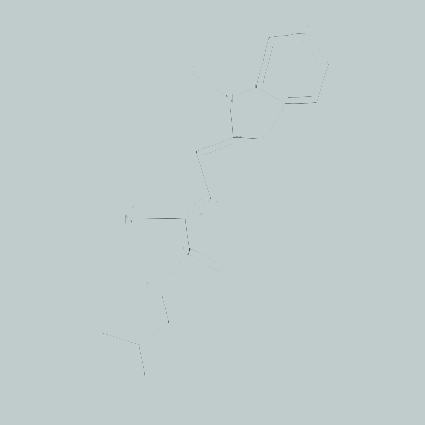 CCC(CC)COC(=O)/C(C#N)=C/C=C1\Sc2ccccc2N1C